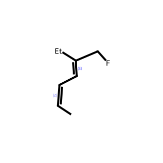 C/C=C\C=C(/CC)CF